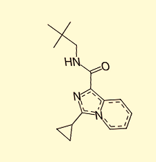 CC(C)(C)CNC(=O)c1nc(C2CC2)n2ccccc12